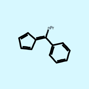 CCCC(=C1C=CC=C1)c1ccccc1